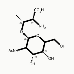 CC(=O)NC1[C@@H](O[C@H](C)[C@H](N)C(=O)O)OC(CO)[C@H](O)[C@@H]1O